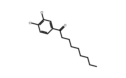 CCCCCCCCC(=O)c1ccc(Cl)c(Cl)c1